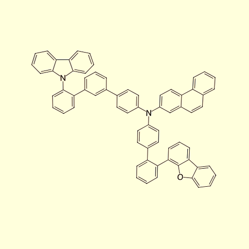 c1cc(-c2ccc(N(c3ccc(-c4ccccc4-c4cccc5c4oc4ccccc45)cc3)c3ccc4c(ccc5ccccc54)c3)cc2)cc(-c2ccccc2-n2c3ccccc3c3ccccc32)c1